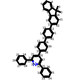 CC1(C)c2ccccc2-c2cc(-c3ccc(-c4ccc(-c5cc(-c6ccccc6)nc(-c6ccccc6)c5)cc4)cc3)ccc21